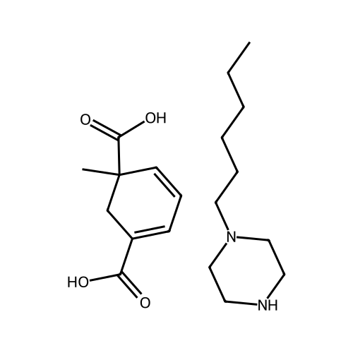 CC1(C(=O)O)C=CC=C(C(=O)O)C1.CCCCCCN1CCNCC1